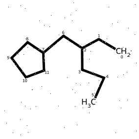 [CH2]CC(CCC)CC1CCCC1